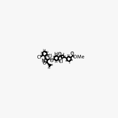 COC(=O)c1cccc(C2CC(O)(c3ccc(OCc4c(-c5c(Cl)cccc5Cl)noc4C4CC4)cc3Cl)C2)c1